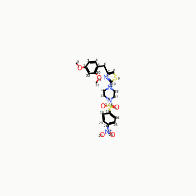 COc1ccc(Cc2csc(N3CCN(S(=O)(=O)c4ccc([N+](=O)[O-])cc4)CC3)n2)c(OC)c1